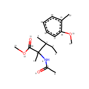 CCC(C)C(C)(NC(C)=O)C(=O)OC.COc1ccccc1C